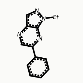 CCn1ncc2n[c]c(-c3ccccc3)nc21